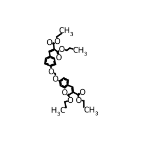 CCCOC(=O)C(=Cc1ccc(OCOc2ccc(C=C(C(=O)OCCC)C(=O)OCCC)cc2)cc1)C(=O)OCCC